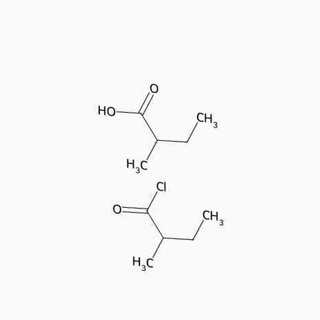 CCC(C)C(=O)Cl.CCC(C)C(=O)O